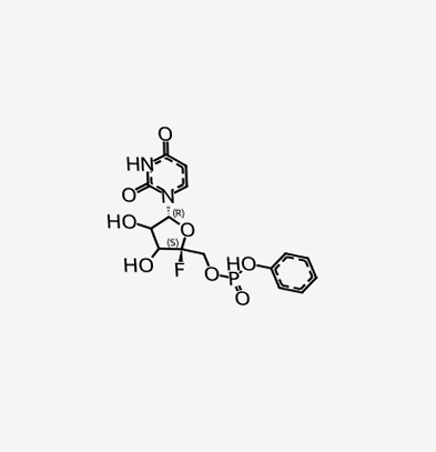 O=c1ccn([C@@H]2O[C@](F)(CO[PH](=O)Oc3ccccc3)C(O)C2O)c(=O)[nH]1